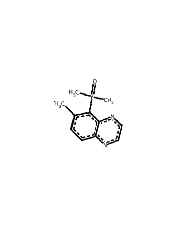 Cc1ccc2nccnc2c1P(C)(C)=O